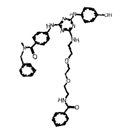 CN(Cc1ccccc1)C(=O)c1ccc(Nc2nc(NCCOCCOCCNC(=O)c3ccccc3)nc(Nc3ccc(O)cc3)n2)cc1